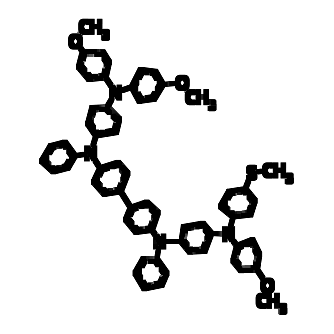 COc1ccc(N(c2ccc(OC)cc2)c2ccc(N(c3ccccc3)c3ccc(-c4ccc(N(c5ccccc5)c5ccc(N(c6ccc(OC)cc6)c6ccc(SC)cc6)cc5)cc4)cc3)cc2)cc1